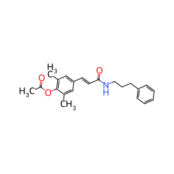 CC(=O)Oc1c(C)cc(/C=C/C(=O)NCCCc2ccccc2)cc1C